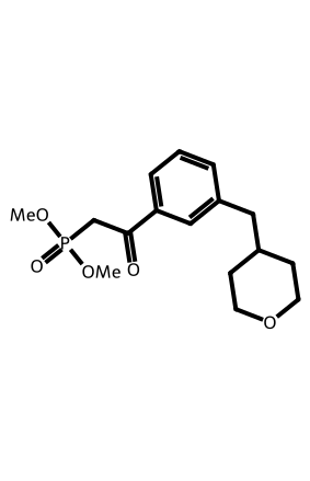 COP(=O)(CC(=O)c1cccc(CC2CCOCC2)c1)OC